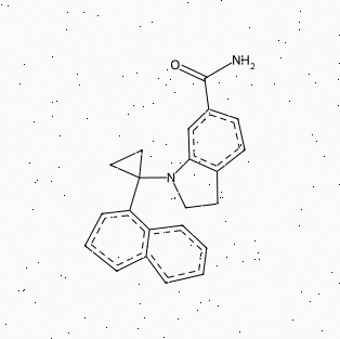 NC(=O)c1ccc2c(c1)N(C1(c3cccc4ccccc34)CC1)CC2